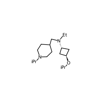 CCN(CC1CCN(C(C)C)CC1)[C@H]1C[C@H](OC(C)C)C1